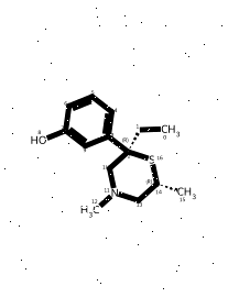 CC[C@@]1(c2cccc(O)c2)CN(C)C[C@@H](C)S1